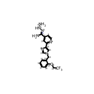 NN/N=C(\N)c1ccnc(-c2cn(Cc3ccccc3OCC(F)(F)F)cn2)c1